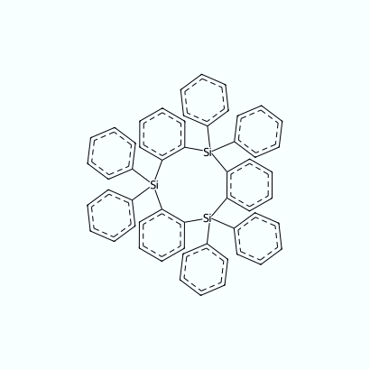 c1ccc([Si]2(c3ccccc3)c3ccccc3[Si](c3ccccc3)(c3ccccc3)c3ccccc3[Si](c3ccccc3)(c3ccccc3)c3ccccc32)cc1